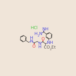 CCOC(=O)C(Nc1cccc(C(=N)N)c1)C(=O)NCC(=O)NCc1ccccc1.Cl